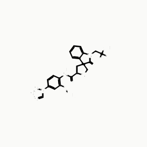 COc1cc(-n2cnnn2)ccc1NC(=O)C1CC2(CN1)C(=O)N(CC(C)(C)C)c1ccccc12